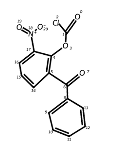 O=C(Cl)Oc1c(C(=O)c2ccccc2)cccc1[N+](=O)[O-]